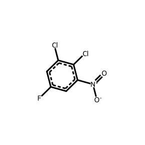 O=[N+]([O-])c1cc(F)cc(Cl)c1Cl